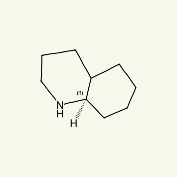 C1CC[C@H]2NCCCC2C1